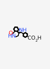 O=C(O)c1ccc(-c2[nH]c3cccc4c3c2CCNC4=O)cc1